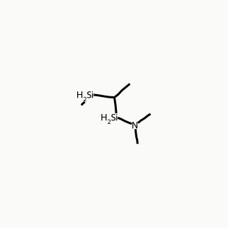 C[SiH2]C(C)[SiH2]N(C)C